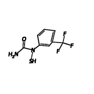 NC(=O)N(S)c1cccc(C(F)(F)F)c1